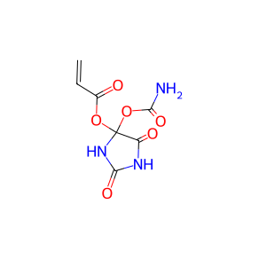 C=CC(=O)OC1(OC(N)=O)NC(=O)NC1=O